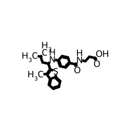 Cc1c(C(CC(C)C)Nc2ccc(C(=O)NCCC(=O)O)cc2)sc2ccccc12